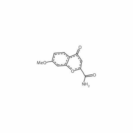 COc1ccc2c(=O)cc(C(N)=O)oc2c1